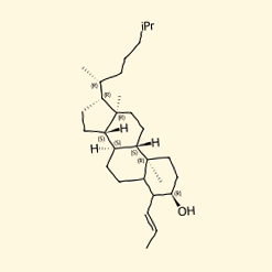 CC=CC1C2CC[C@H]3[C@@H]4CC[C@H]([C@H](C)CCCC(C)C)[C@@]4(C)CC[C@@H]3[C@@]2(C)CC[C@H]1O